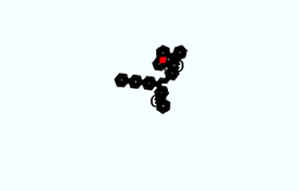 c1ccc(-c2ccc(-c3ccc(C(CCc4ccc5c(c4)N(c4ccccc4)c4c(c6ccccc6n4-c4ccccc4)O5)c4ccc5c(c4)oc4ccccc45)cc3)cc2)cc1